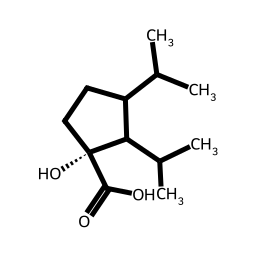 CC(C)C1CC[C@](O)(C(=O)O)C1C(C)C